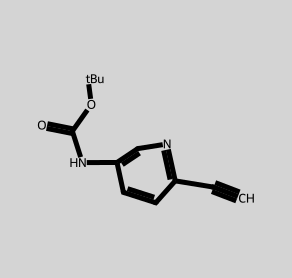 C#Cc1ccc(NC(=O)OC(C)(C)C)cn1